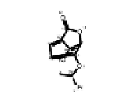 CC(C)[C@@H](C)Oc1c2c3oc1cc3C(=O)O2